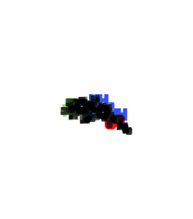 C=CCOC(=O)Nc1ccc(-c2c(N)c3ccc(C(F)(F)F)cc3n2CC)cc1